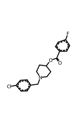 O=C(OC1CCN(Cc2ccc(Cl)cc2)CC1)c1ccc(F)cc1